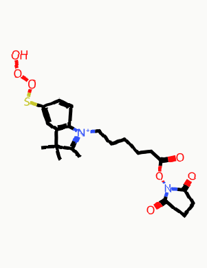 CC1=[N+](CCCCCC(=O)ON2C(=O)CCC2=O)c2ccc(SOOO)cc2C1(C)C